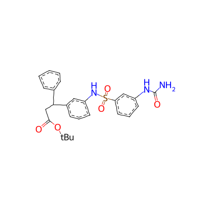 CC(C)(C)OC(=O)CC(c1ccccc1)c1cccc(NS(=O)(=O)c2cccc(NC(N)=O)c2)c1